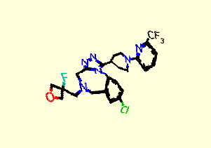 FC1(CN2Cc3cc(Cl)ccc3-n3c(nnc3C3CCN(c4cccc(C(F)(F)F)n4)CC3)C2)COC1